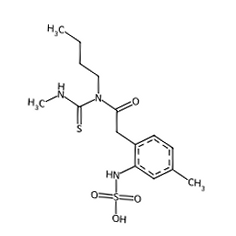 CCCCN(C(=O)Cc1ccc(C)cc1NS(=O)(=O)O)C(=S)NC